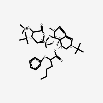 CCCCC(Oc1ccccc1)C(=O)O[C@H]1C[C@H](C(C)(C)C)C=C2C=C[C@H](C)[C@](CC[C@@H]3C[C@H](C(C)(C)C)C(O[SiH](C)C)C(=O)O3)(O[SiH](C)C)[C@H]21